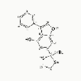 CCCCC1(c2cc(O)c3c(-c4ccccc4)coc3c2)SCCS1